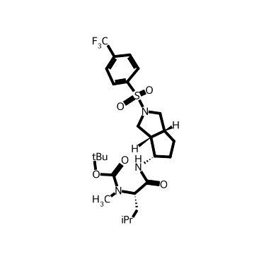 CC(C)C[C@@H](C(=O)N[C@H]1CC[C@H]2CN(S(=O)(=O)c3ccc(C(F)(F)F)cc3)C[C@H]21)N(C)C(=O)OC(C)(C)C